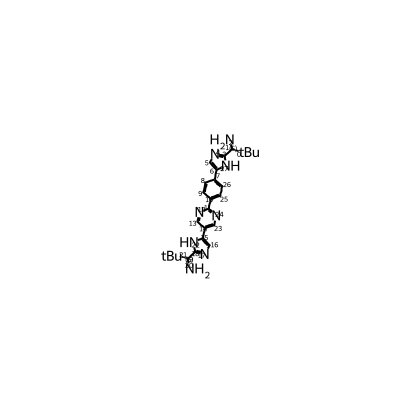 CC(C)(C)[C@H](N)c1ncc(-c2ccc(-c3ncc(-c4cnc([C@@H](N)C(C)(C)C)[nH]4)cn3)cc2)[nH]1